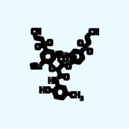 Cc1ccc(O)c(NC(=O)C(Oc2ccc(S(=O)(=O)C=CC#N)cc2C(C)(C)C)C(Oc2ccc(S(=O)(=O)C=CC#N)cc2C(C)(C)C)C(=O)O)c1